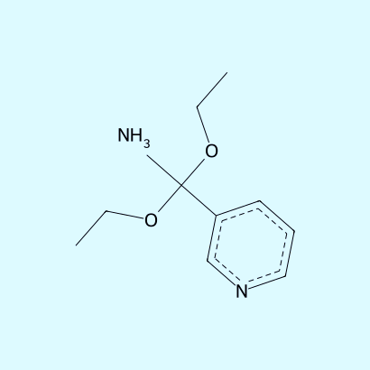 CCOC(C)(OCC)c1cccnc1.N